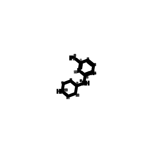 CC(C)c1ccnc(NC2CCNCC2)n1